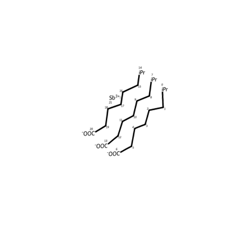 CC(C)CCCCCC(=O)[O-].CC(C)CCCCCC(=O)[O-].CC(C)CCCCCC(=O)[O-].[Sb+3]